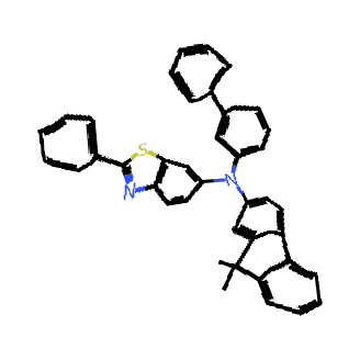 CC1(C)c2ccccc2-c2ccc(N(c3cccc(-c4ccccc4)c3)c3ccc4nc(-c5ccccc5)sc4c3)cc21